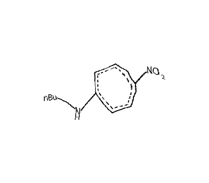 CCCCNc1ccc([N+](=O)[O-])cc1